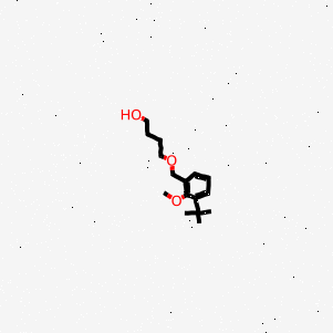 COc1c(COCCCCO)cccc1C(C)(C)C